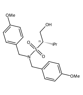 COc1ccc(CN(Cc2ccc(OC)cc2)S(=O)(=O)[C@H](CO)C(C)C)cc1